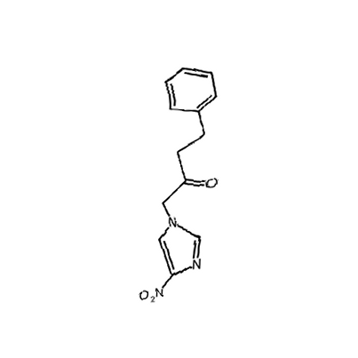 O=C(CCc1ccccc1)Cn1cnc([N+](=O)[O-])c1